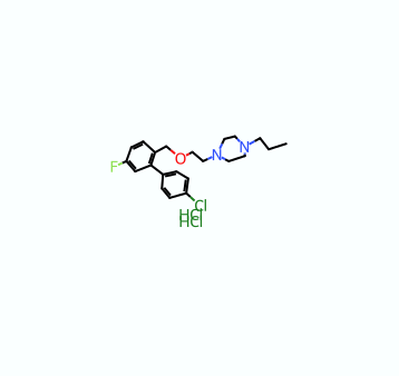 CCCN1CCN(CCOCc2ccc(F)cc2-c2ccc(Cl)cc2)CC1.Cl.Cl